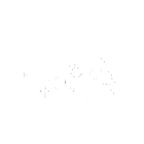 Nc1cc2cc(-c3cn(-c4ccc(NS(=O)(=O)CCO)cc4N4CCC5(CC4)CC5)nn3)cc(N3CCC(F)(F)CC3)c2nn1